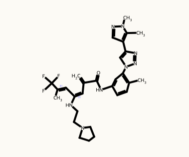 C=C(/C=C(\C=C(/C)C(F)(F)F)NCCN1CCCC1)C(=O)Nc1ccc(C)c(-n2cc(-c3cnn(C)c3C)nn2)c1